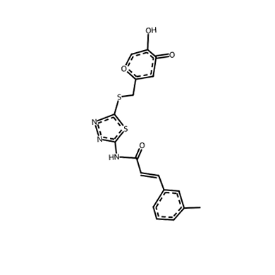 Cc1cccc(/C=C/C(=O)Nc2nnc(SCc3cc(=O)c(O)co3)s2)c1